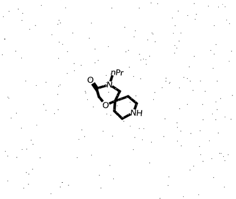 CCCN1CC2(CCNCC2)OCC1=O